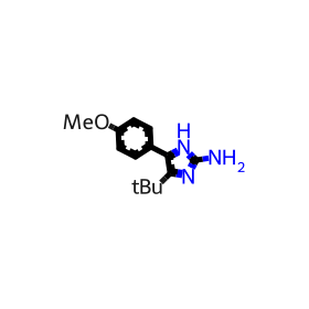 COc1ccc(-c2[nH]c(N)nc2C(C)(C)C)cc1